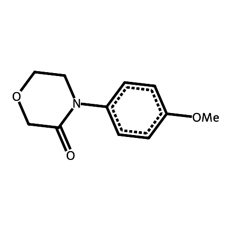 [CH2]Oc1ccc(N2CCOCC2=O)cc1